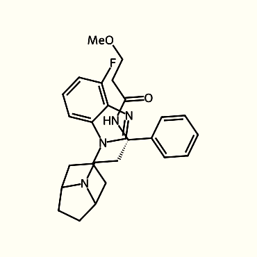 COCCC(=O)N[C@@H](CCN1C2CCC1CC(n1cnc3c(F)cccc31)C2)c1ccccc1